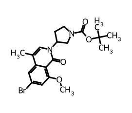 COc1cc(Br)cc2c(C)cn(C3CCN(C(=O)OC(C)(C)C)C3)c(=O)c12